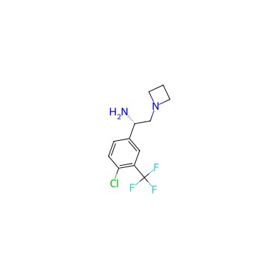 N[C@H](CN1CCC1)c1ccc(Cl)c(C(F)(F)F)c1